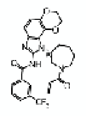 C=CC(=O)N1CCCC[C@@H](n2c(NC(=O)c3cccc(C(F)(F)F)c3)nc3ccc4c(c32)OCCO4)C1